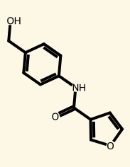 O=C(Nc1ccc(CO)cc1)c1ccoc1